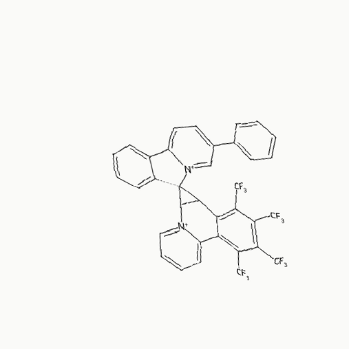 FC(F)(F)c1c2c(c(C(F)(F)F)c(C(F)(F)F)c1C(F)(F)F)C1C([n+]3ccccc3-2)C12c1ccccc1-c1ccc(-c3ccccc3)c[n+]12